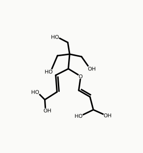 OCC(CO)(CO)C(C=CC(O)O)OC=CC(O)O